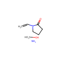 C=CN1CCCC1=O.N.O=S(=O)(O)O